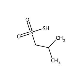 CC(C)CS(=O)(=O)S